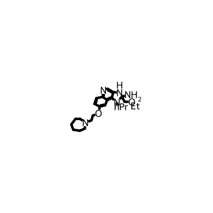 CCCN1c2c(cnc3ccc(OCCN4CCCCCC4)cc23)NC1(N)COCC